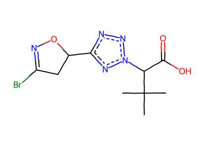 CC(C)(C)C(C(=O)O)n1nnc(C2CC(Br)=NO2)n1